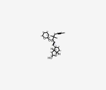 CC#CCC(C)(C)[C@@H](/C=C/[C@H]1CC[C@@H]2OC(O)C[C@@H]21)OC1CCCCO1